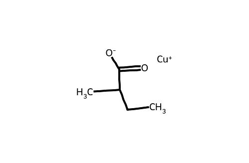 CCC(C)C(=O)[O-].[Cu+]